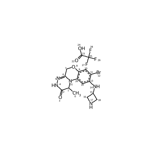 CC1C(=O)NN=C2COc3cc(Br)c(NC4CNC4)cc3N21.O=C(O)C(F)(F)F